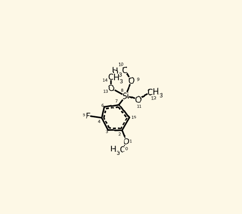 COc1cc(F)cc([Si](OC)(OC)OC)c1